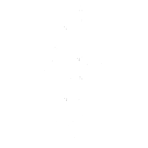 Cn1c(=O)n(C2CCC(=O)NC2=O)c2cccc(N3CCC(=O)CC3)c21